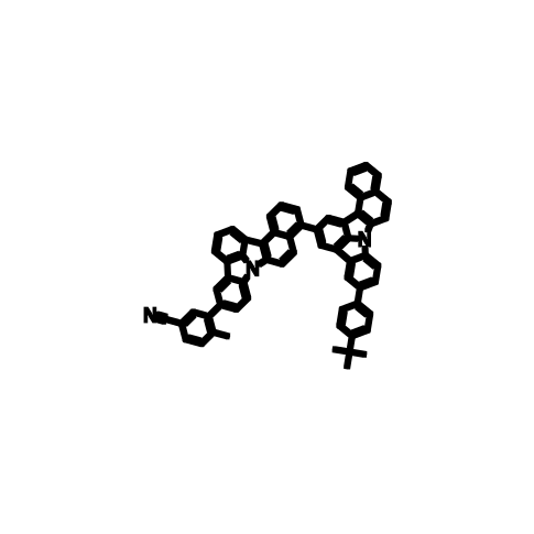 Cc1ccc(C#N)cc1-c1ccc2c(c1)c1cccc3c4c5cccc(-c6cc7c8cc(-c9ccc(C(C)(C)C)cc9)ccc8n8c9ccc%10ccccc%10c9c(c6)c78)c5ccc4n2c13